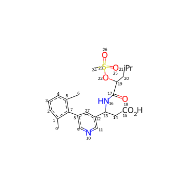 Cc1cccc(C)c1-c1cncc(C(CC(=O)O)NC(=O)C(CC(C)C)OS(C)(=O)=O)c1